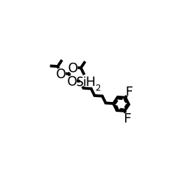 CC(C)OC(O[SiH2]CCCCCc1cc(F)cc(F)c1)OC(C)C